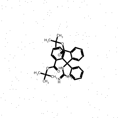 CC(C)(C)OC(=O)c1ccccc1C(NC(=N)N)(c1ccccc1)c1ccccc1C(=O)OC(C)(C)C